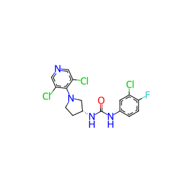 O=C(Nc1ccc(F)c(Cl)c1)N[C@@H]1CCN(c2c(Cl)cncc2Cl)C1